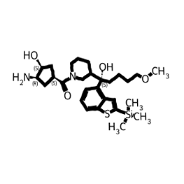 COCCCC[C@@](O)(c1cccc2sc([Si](C)(C)C)cc12)C1CCCN(C(=O)[C@H]2C[C@@H](N)[C@@H](O)C2)C1